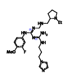 CCN1CCCC1CNC/N=C(\N=C(/N)NCCCn1ccnc1)Nc1ccc(OC)c(F)c1